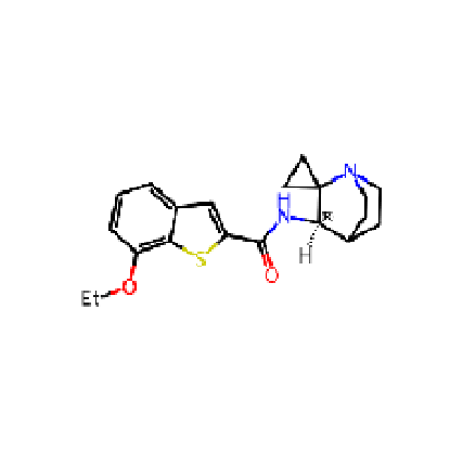 CCOc1cccc2cc(C(=O)N[C@@H]3C4CCN(CC4)C34CC4)sc12